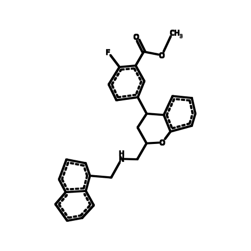 COC(=O)c1cc(C2CC(CNCc3cccc4ccccc34)Oc3ccccc32)ccc1F